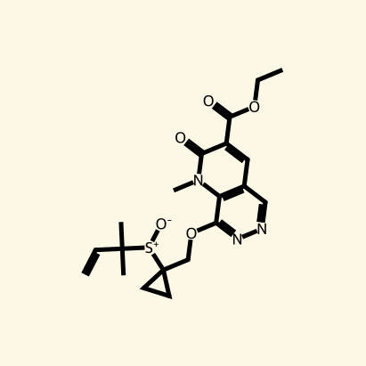 C=CC(C)(C)[S+]([O-])C1(COc2nncc3cc(C(=O)OCC)c(=O)n(C)c23)CC1